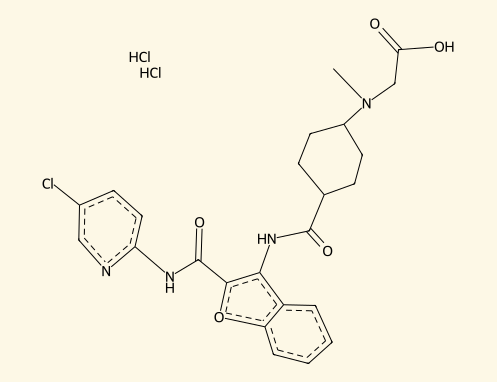 CN(CC(=O)O)C1CCC(C(=O)Nc2c(C(=O)Nc3ccc(Cl)cn3)oc3ccccc23)CC1.Cl.Cl